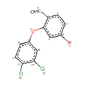 O=Cc1ccc(Br)cc1Oc1ccc(Cl)c(Cl)c1